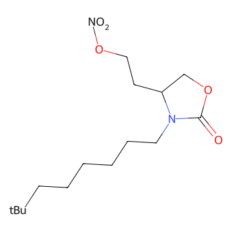 CC(C)(C)CCCCCCN1C(=O)OCC1CCO[N+](=O)[O-]